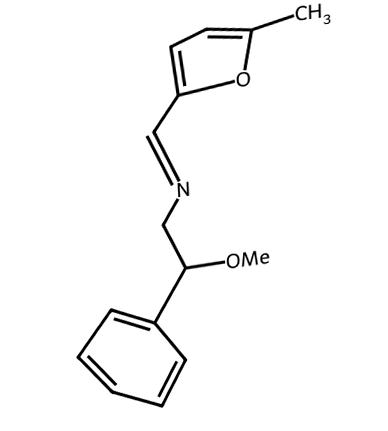 COC(CN=Cc1ccc(C)o1)c1ccccc1